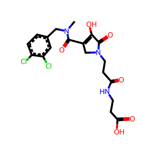 CN(Cc1ccc(Cl)c(Cl)c1)C(=O)C1=C(O)C(=O)N(CCC(=O)NCCC(=O)O)C1